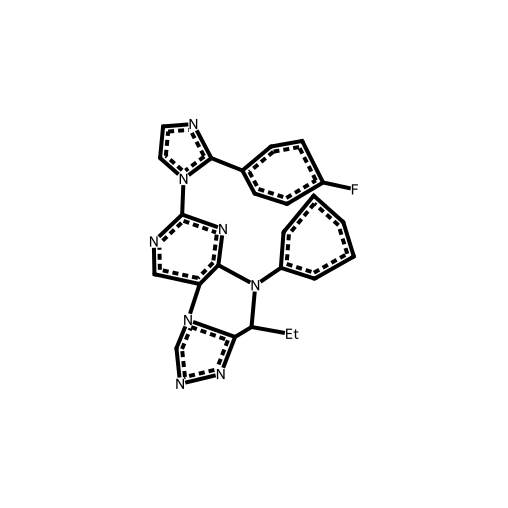 CCC1c2nncn2-c2cnc(-n3ccnc3-c3ccc(F)cc3)nc2N1c1ccccc1